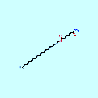 CCCCCCCCCCCCCCCCCCOC(=O)CCCCC(N)=O